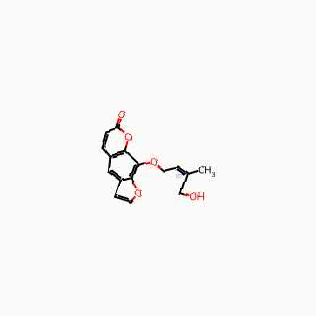 C/C(=C/COc1c2occc2cc2ccc(=O)oc12)CO